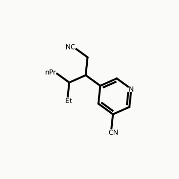 CCCC(CC)C(CC#N)c1cncc(C#N)c1